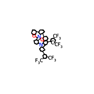 O=C1c2cccc(-n3c4ccc(-c5cc(C(F)(F)F)cc(C(F)(F)F)c5)cc4c4cc(-c5cc(C(F)(F)F)cc(C(F)(F)F)c5)ccc43)c2C(=O)N1c1c(-c2ccccc2)cccc1-c1ccccc1